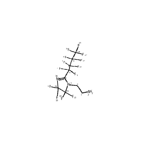 NCCN1C(C(F)(F)C(F)(F)C(F)(F)C(F)(F)F)=NC(F)(F)C1(F)F